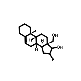 C[C@]12CCCCC1=CC[C@@H]1[C@H]2CC[C@]2(CO)C(O)C(F)C[C@@H]12